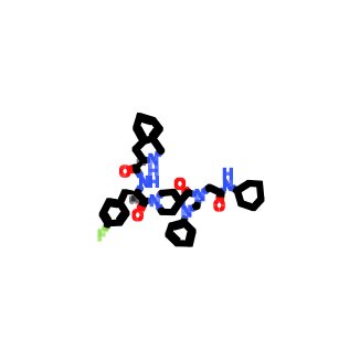 O=C(CN1CN(c2ccccc2)C2(CCN(C(=O)[C@@H](Cc3ccc(F)cc3)NC(=O)[C@H]3Cc4ccccc4CN3)CC2)C1=O)NC1CCCCC1